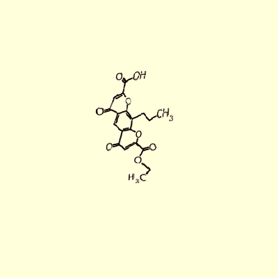 CCCc1c2oc(C(=O)O)cc(=O)c2cc2c(=O)cc(C(=O)OCC)oc12